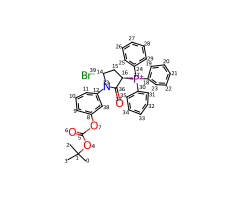 CC(C)(C)OC(=O)Oc1cccc(N2CC[C@@H]([P+](c3ccccc3)(c3ccccc3)c3ccccc3)C2=O)c1.[Br-]